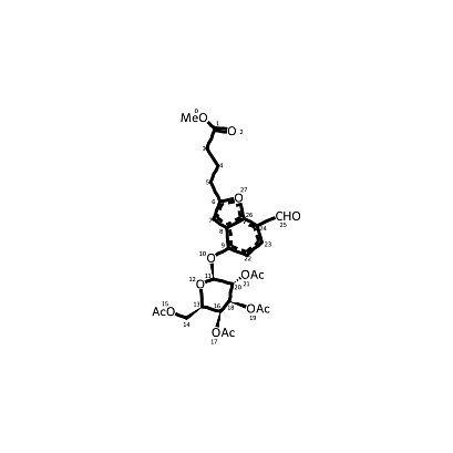 COC(=O)CCCc1cc2c(O[C@@H]3O[C@H](COC(C)=O)[C@H](OC(C)=O)[C@H](OC(C)=O)[C@H]3OC(C)=O)ccc(C=O)c2o1